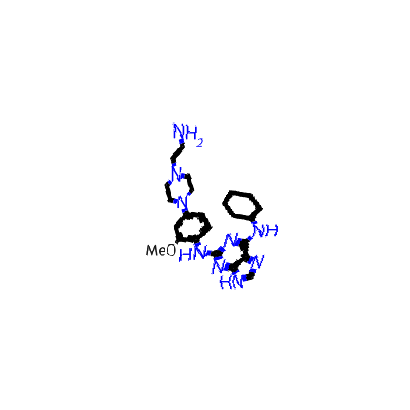 COc1cc(N2CCN(CCN)CC2)ccc1Nc1nc(NC2CCCCC2)c2nc[nH]c2n1